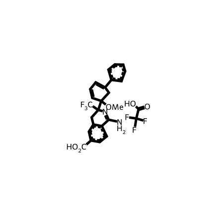 COC1(C2(C(F)(F)F)Cc3cc(C(=O)O)ccc3C(N)=N2)C=CC=C(c2ccccc2)C1.O=C(O)C(F)(F)F